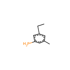 CCc1cc(C)cc(P)c1